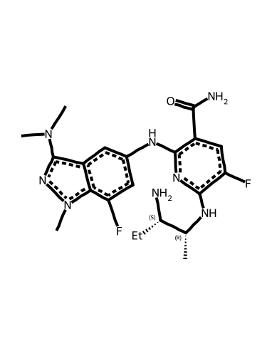 CC[C@H](N)[C@@H](C)Nc1nc(Nc2cc(F)c3c(c2)c(N(C)C)nn3C)c(C(N)=O)cc1F